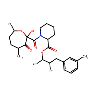 CCC(Cc1cccc(C)c1)C(OC(=O)C1CCCCN1C(=O)C1(O)OC(C(C)C)CCC(C)C1=O)C(C)C